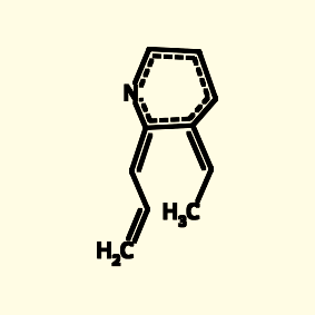 C=C/C=c1/nccc/c1=C/C